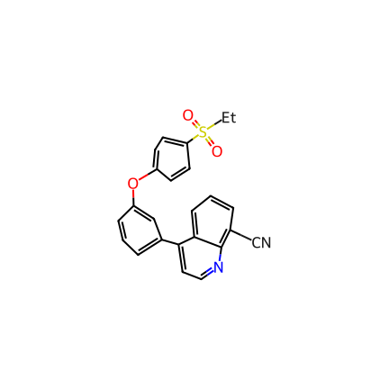 CCS(=O)(=O)c1ccc(Oc2cccc(-c3ccnc4c(C#N)cccc34)c2)cc1